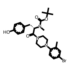 Cc1cc(Br)ccc1N1CCN(C(=O)[C@H](Cc2ccc(O)cc2)N(C)C(=O)OC(C)(C)C)CC1